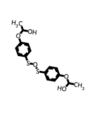 CC(O)Oc1ccc(SOSc2ccc(OC(C)O)cc2)cc1